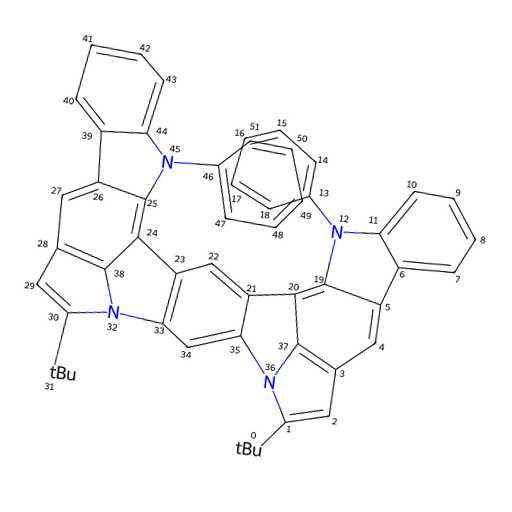 CC(C)(C)c1cc2cc3c4ccccc4n(-c4ccccc4)c3c3c4cc5c6c7c(cc8cc(C(C)(C)C)n(c5cc4n1c23)c86)c1ccccc1n7-c1ccccc1